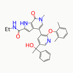 CCNC(=O)c1cc2c(-c3cc(C(C)(O)c4ccccc4)cnc3Oc3c(C)cccc3C)cn(C)c(=O)c2[nH]1